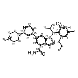 CCCc1cc(C)[nH]c(=O)c1C(C(C)C)n1ncc2c(C(N)=O)cc(-c3ccnc(N4CCN(C)CC4)c3)cc21